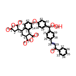 O=C1CC(C2CC3C(=O)OC(=O)C3c3cc(Oc4ccc(C(OO)c5ccc(/C=C/C(=O)c6ccccc6)cc5)cc4)ccc32)C(=O)O1